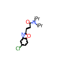 CC(C)N(C(=O)C=Cc1nc2cc(Cl)ccc2o1)C(C)C